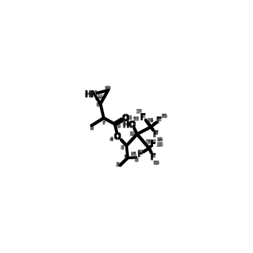 CC(C)C(OC(=O)C(C)C1CN1)C(O)(C(F)(F)F)C(F)(F)F